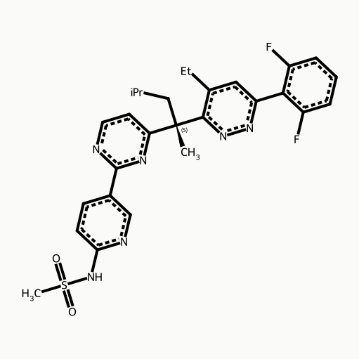 CCc1cc(-c2c(F)cccc2F)nnc1[C@@](C)(CC(C)C)c1ccnc(-c2ccc(NS(C)(=O)=O)nc2)n1